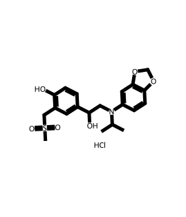 CC(C)N(CC(O)c1ccc(O)c(CS(C)(=O)=O)c1)c1ccc2c(c1)OCO2.Cl